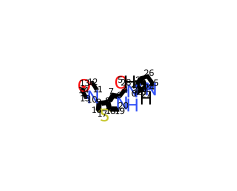 C[C@H]1[C@H](NC(=O)c2cc3c(N4CCOCC4)csc3cn2)C2CCN1CC2